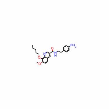 CCCCCOc1c(OC)ccc2cc(C(=O)NCCc3ccc(N)cc3)cnc12